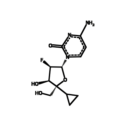 Nc1ccn([C@@H]2O[C@@](CO)(C3CC3)[C@@H](O)[C@H]2F)c(=O)n1